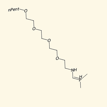 CCCCCOCCOCCOCCOCCNC=[PH](C)C